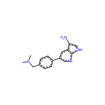 CN(C)Cc1ccc(-c2cnc3[nH]cc(N)c3c2)cc1